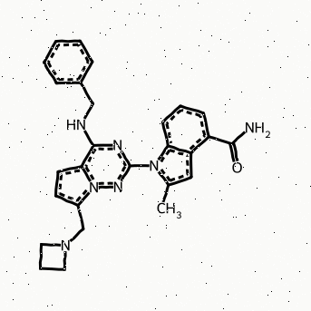 Cc1cc2c(C(N)=O)cccc2n1-c1nc(NCc2ccccc2)c2ccc(CN3CCC3)n2n1